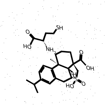 CC(C)c1ccc2c(c1)CC[C@H]1[C@@](CS(=O)(=O)O)(C(=O)O)CCC[C@]21C.N[C@@H](CCS)C(=O)O